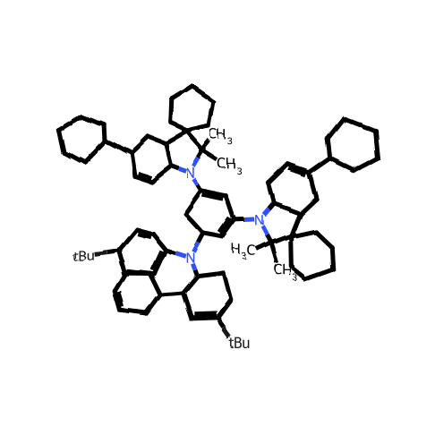 CC(C)(C)C1=CC(C2CC=CCC2)C(N(C2=CCC(C(C)(C)C)C=C2)C2C=C(N3C4CC=C(C5CCCCC5)CC4C4(CCCCC4)C3(C)C)C=C(N3C4C=CC(C5CCCCC5)CC4C4(CCCCC4)C3(C)C)C2)CC1